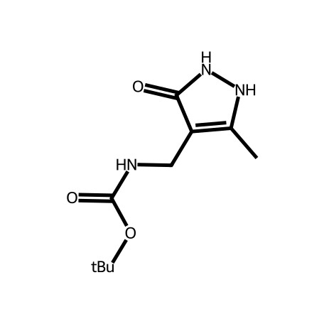 Cc1[nH][nH]c(=O)c1CNC(=O)OC(C)(C)C